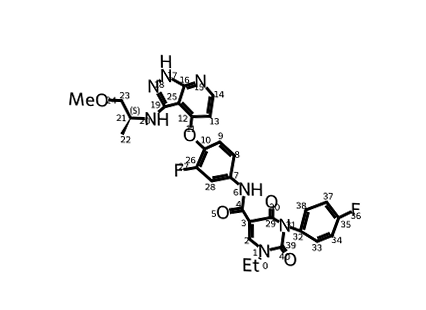 CCn1cc(C(=O)Nc2ccc(Oc3ccnc4[nH]nc(N[C@@H](C)COC)c34)c(F)c2)c(=O)n(-c2ccc(F)cc2)c1=O